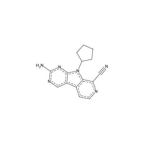 N#Cc1nccc2c3cnc(N)nc3n(C3CCCC3)c12